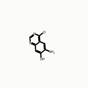 Nc1cc2c(Cl)ncnc2cc1O